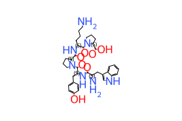 NCCCC[C@H](NC(=O)[C@@H]1CCCN1C(=O)[C@H](Cc1ccc(O)cc1)NC(=O)[C@@H](N)Cc1c[nH]c2ccccc12)C(=O)N1CCC[C@H]1C(=O)O